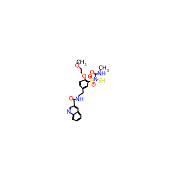 CNC(=O)N(S)S(=O)(=O)c1cc(CCNC(=O)c2cnc3ccccc3c2)ccc1OCCOC